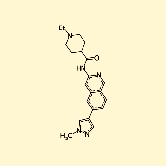 CCN1CCC(C(=O)Nc2cc3cc(-c4cnn(C)c4)ccc3cn2)CC1